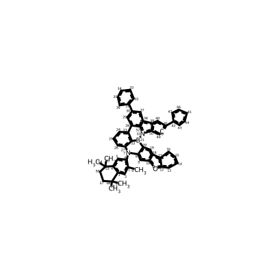 Cc1cc2c(cc1N1c3cc4oc5ccccc5c4cc3B3c4c(cccc41)-c1cc(-c4ccccc4)cc4c5cc(-c6ccccc6)ccc5n3c14)C(C)(C)CCC2(C)C